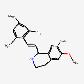 CCCCOc1cc2c(cc1OC)C(/C=C/c1c(C)cc(OC)cc1C)NCC2